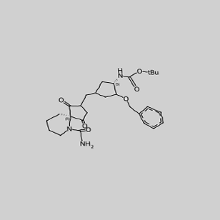 CC(C)(C)OC(=O)N[C@H]1CC(CC2CC(=O)[C@]3(CCCCN3C(N)=O)C2=O)CC1OCc1ccccc1